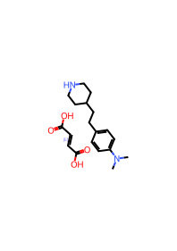 CN(C)c1ccc(CCC2CCNCC2)cc1.O=C(O)/C=C/C(=O)O